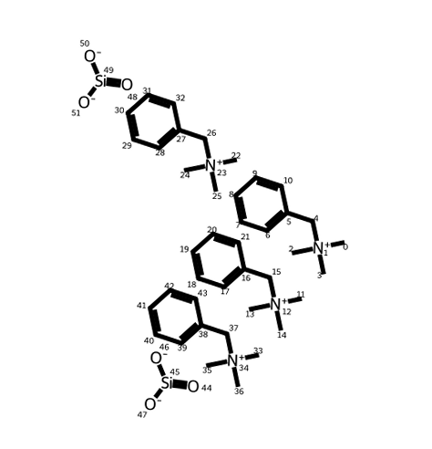 C[N+](C)(C)Cc1ccccc1.C[N+](C)(C)Cc1ccccc1.C[N+](C)(C)Cc1ccccc1.C[N+](C)(C)Cc1ccccc1.O=[Si]([O-])[O-].O=[Si]([O-])[O-]